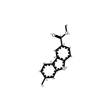 COC(=O)c1ccc2oc3cc(C)ccc3c2c1